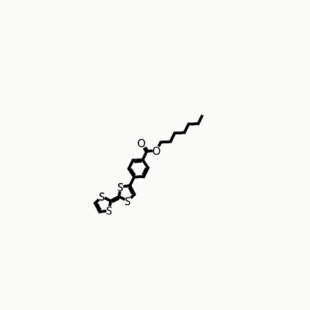 CCCCCCCOC(=O)c1ccc(C2=CSC(=C3SC=CS3)S2)cc1